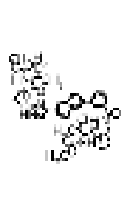 COC(=O)N[C@H](C(=O)N1CCC[C@H]1CNC(=O)c1cccc(-c2ccc3cc(-c4c[nH]c([C@@H]5CCCN5C(=O)[C@@H](NC(=O)OC)C(C)C)n4)ccc3c2)c1)C(C)C